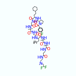 CC(C)CC(NC(=O)CNC(=O)C(C)(C)NC(=O)CNC(=O)C(CCC1CCCCC1)NC(=O)C1CCCN1C(=O)c1ccc(F)cc1)C(=O)NC(C)(C)C(=O)NC(C)(C)C(=O)NCCC(=O)NCCN(C)CC(F)F